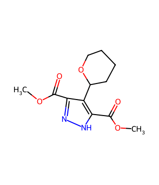 COC(=O)c1n[nH]c(C(=O)OC)c1C1CCCCO1